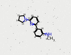 CNc1cccc(-c2cccc(N3CCCC3)n2)c1